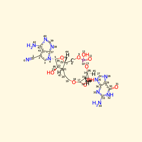 N#Cc1cn([C@@H]2O[C@@H]3COP(=O)(O)O[C@@H]4[C@H](O)C(OCC[C@H]3[C@H]2O)O[C@H]4n2cnc3c(=O)[nH]c(N)nc32)c2ncnc(N)c12